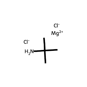 CC(C)(C)N.[Cl-].[Cl-].[Mg+2]